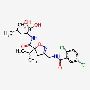 CC(C)CC(NC(=O)C1(C(C)C)CC(CNC(=O)c2cc(Cl)ccc2Cl)=NO1)B(O)O